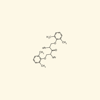 CCCC(COc1c(C)cccc1C)C(=O)C(CCC)COc1c(C)cccc1C